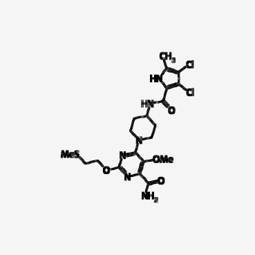 COc1c(C(N)=O)nc(OCCSC)nc1N1CCC(NC(=O)c2[nH]c(C)c(Cl)c2Cl)CC1